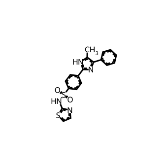 Cc1[nH]c(-c2ccc(S(=O)(=O)Nc3nccs3)cc2)nc1-c1ccccc1